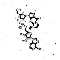 C#C[C@]1(COP(=O)(S)O[C@@H]2[C@H](F)[C@@H](CO)O[C@H]2n2cnc3c(=O)n4cc[nH]c4nc32)O[C@@H](n2cnc3c(N)ncnc32)[C@H](OC)[C@@H]1O